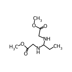 CC[C](NCC(=O)OC)NCC(=O)OC